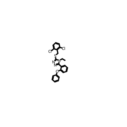 CCn1c(SCc2c(Cl)cccc2Cl)nnc1-c1ccccc1Oc1ccccc1